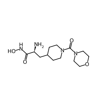 N[C@@H](CC1CCN(C(=O)N2CCOCC2)CC1)C(=O)NO